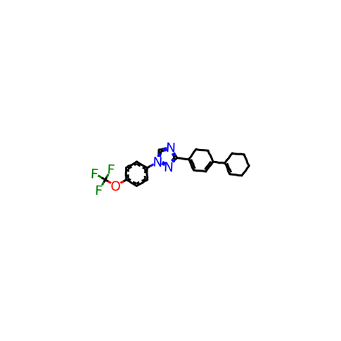 FC(F)(F)Oc1ccc(-n2cnc(C3=CC=C(C4=CCCCC4)CC3)n2)cc1